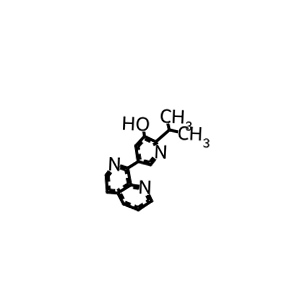 CC(C)c1ncc(-c2nccc3cccnc23)cc1O